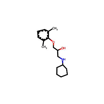 Cc1c[c]cc(C)c1OCC(O)CNC1CCCCC1